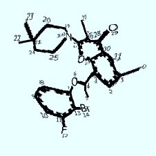 Cc1cc(C(C)Oc2cccc(F)c2Br)c2oc(N3CCC(C)(C)CC3)c(C)c(=O)c2c1